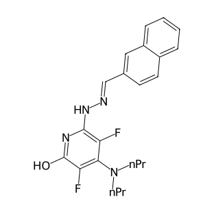 CCCN(CCC)c1c(F)c(O)nc(N/N=C/c2ccc3ccccc3c2)c1F